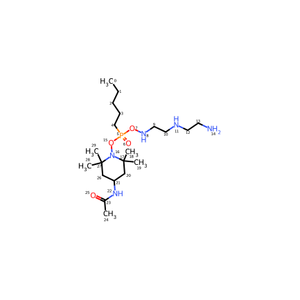 CCCCCP(=O)(ONCCNCCN)ON1C(C)(C)CC(NC(C)=O)CC1(C)C